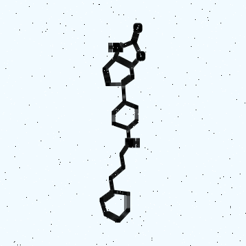 O=c1[nH]c2ccc(C3CCC(NCCCc4ccccc4)CC3)cc2o1